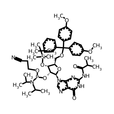 COc1ccc(C(OC[C@H]2O[C@@H](n3cnc4c(=O)[nH]c(NC(=O)C(C)C)nc43)[C@H](OP(OCCC#N)N(C(C)C)C(C)C)[C@@H]2O[Si](C)(C)C(C)(C)C)(c2ccccc2)c2ccc(OC)cc2)cc1